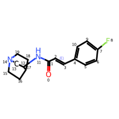 O=C(/C=C/c1ccc(F)cc1)NC1CN2CCC1CC2